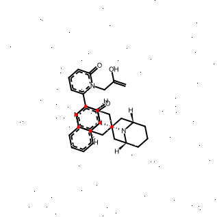 C=C(O)Cn1c(-c2nc3ccccc3n([C@H]3C[C@H]4CCC[C@@H](C3)N4[C@H]3C[C@@H]4CCC[C@@H](C4)C3)c2=O)cccc1=O